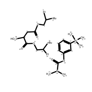 CCCCC(CC)COC(=O)CC(C(=O)OCC(CC)CCCC)S(=O)(=O)O.CN(C)C(=O)Oc1cccc([N+](C)(C)C)c1